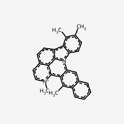 Cc1ccc2c(c1C)c1ccc3cc[n+](C)c4c5c(C)c6ccccc6cc5n2c1c34